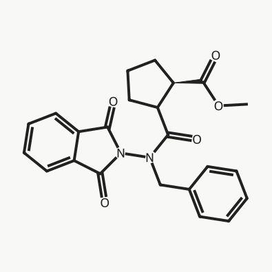 COC(=O)[C@@H]1CCCC1C(=O)N(Cc1ccccc1)N1C(=O)c2ccccc2C1=O